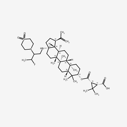 C=C(C)[C@@H]1CC[C@]2(NCC(C(C)F)N3CCS(=O)(=O)CC3)CC[C@]3(C)[C@H](CC[C@@H]4[C@@]5(C)CC[C@H](OC(=O)[C@@H]6[C@H](C(=O)O)C6(C)C)C(C)(C)[C@@H]5CC[C@]43C)[C@@H]12